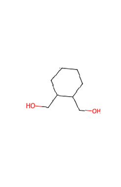 OCC1C[CH]CCC1CO